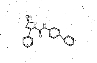 C=C1C=C(c2ccccc2)N(C(=O)Nc2ccc(-c3ccccc3)cc2)O1